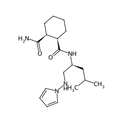 CC(C)C[C@@H](CNn1cccc1)NC(=O)[C@@H]1CCCC[C@@H]1C(N)=O